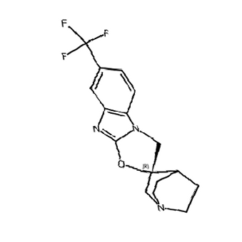 FC(F)(F)c1ccc2c(c1)nc1n2C[C@@]2(CN3CCC2CC3)O1